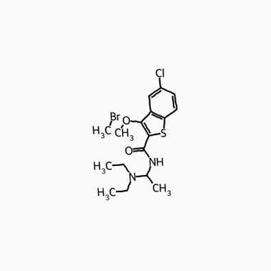 CBr.CCN(CC)C(C)NC(=O)c1sc2ccc(Cl)cc2c1OC